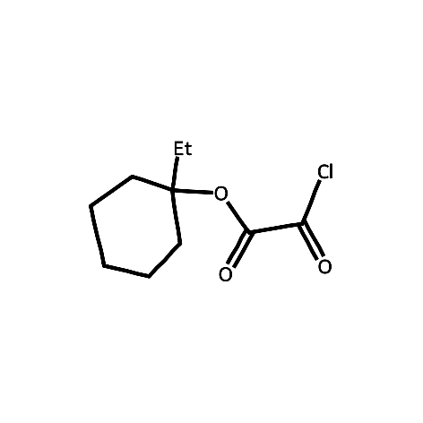 CCC1(OC(=O)C(=O)Cl)CCCCC1